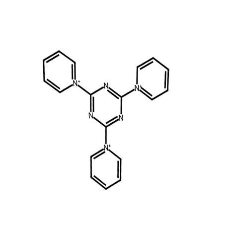 c1cc[n+](-c2nc(-[n+]3ccccc3)nc(-[n+]3ccccc3)n2)cc1